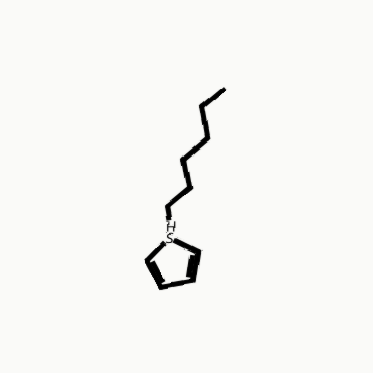 CCCCCC[SH]1C=CC=C1